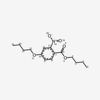 CCCCOC(=O)c1ccc(OCCCC)cc1[N+](=O)[O-]